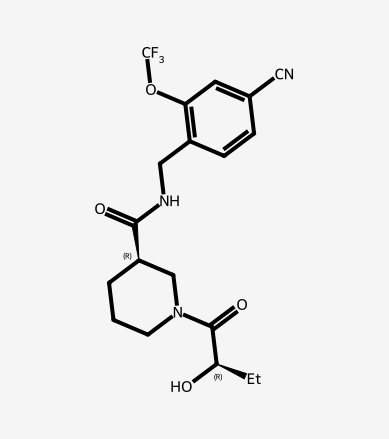 CC[C@@H](O)C(=O)N1CCC[C@@H](C(=O)NCc2ccc(C#N)cc2OC(F)(F)F)C1